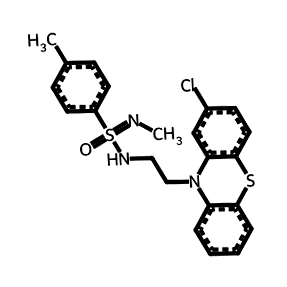 CN=S(=O)(NCCN1c2ccccc2Sc2ccc(Cl)cc21)c1ccc(C)cc1